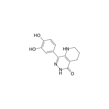 O=c1[nH]nc(-c2ccc(O)c(O)c2)c2c1CCCN2